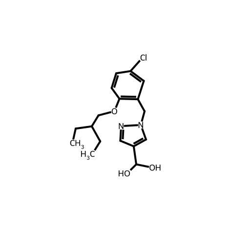 CCC(CC)COc1ccc(Cl)cc1Cn1cc(C(O)O)cn1